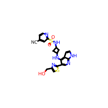 N#Cc1ccnc(S(=O)(=O)NC2CC(Nc3c(-c4nc(CO)cs4)cnc4[nH]ccc34)C2)c1